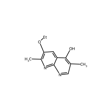 CCOc1cc2c(O)c(C)cnc2nc1C